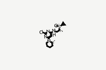 C[C@@H]1CCCCN1c1cc(NC[C@@H](C)[S+]([O-])C2CC2)nc(Cl)n1